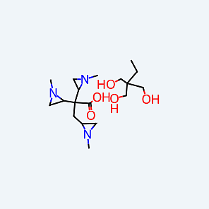 CCC(CO)(CO)CO.CN1CC1CC(C(=O)O)(C1CN1C)C1CN1C